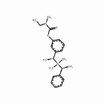 CCN(C)C(=O)Oc1cccc([C@H](C)[N+](C)(C)[C@@H](C)c2ccccc2)c1